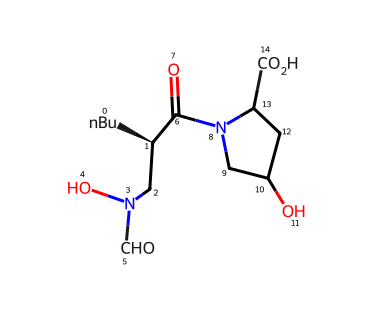 CCCC[C@H](CN(O)C=O)C(=O)N1CC(O)CC1C(=O)O